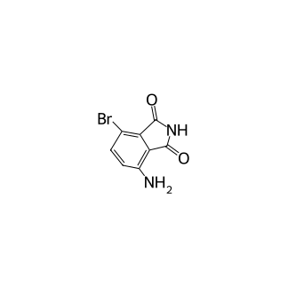 Nc1ccc(Br)c2c1C(=O)NC2=O